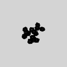 c1ccc(-c2cc(-c3c4cccc(-c5ccc6c7ccccc7n7c8ccccc8c5c67)c4cc4c(-c5ccc6c7ccccc7n7c8ccccc8c5c67)cccc34)cc3ccccc23)cc1